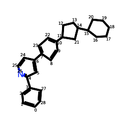 c1ccc(-c2cc(-c3ccc(C4CCC(C5CCCCC5)C4)cc3)ccn2)cc1